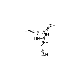 C#CCNB(NCC#C)NCC#C